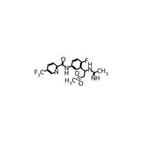 CC(=N)NC(CS(C)(=O)=O)c1cc(NC(=O)c2ccc(C(F)(F)F)cn2)ccc1F